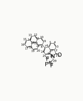 O=C1c2cccc3c(-c4ccc5ccc6cccc7ccc4c5c67)ccc(c23)N1CC(F)(F)F